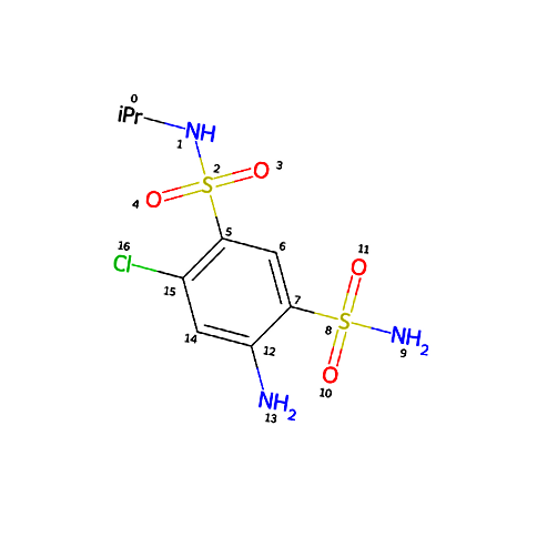 CC(C)NS(=O)(=O)c1cc(S(N)(=O)=O)c(N)cc1Cl